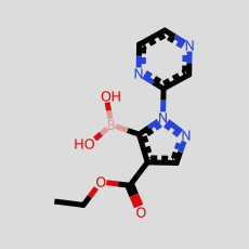 CCOC(=O)c1cnn(-c2cnccn2)c1B(O)O